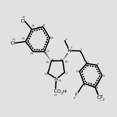 CN(Cc1ccc(C(F)(F)F)c(F)c1)[C@@H]1CN(C(=O)O)C[C@@H]1c1ccc(Cl)c(Cl)c1